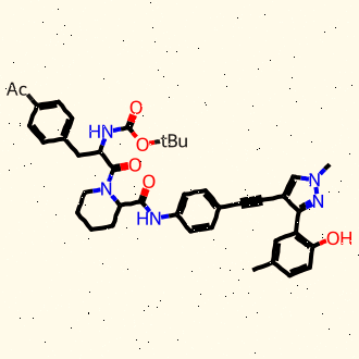 CC(=O)c1ccc(CC(NC(=O)OC(C)(C)C)C(=O)N2CCCCC2C(=O)Nc2ccc(C#Cc3cn(C)nc3-c3cc(C)ccc3O)cc2)cc1